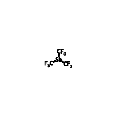 F[C](F)(F)[Sb]([C](F)(F)F)[C](F)(F)F